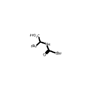 CC(C)(C)C(=O)NC(C(=O)O)C(C)(C)C